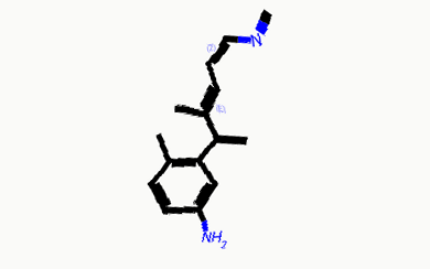 C=N/C=C\C=C(/C)C(=C)c1cc(N)ccc1C